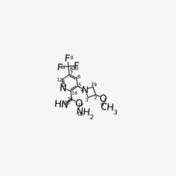 COC1CN(c2cc(C(F)(F)F)cnc2C(=N)ON)C1